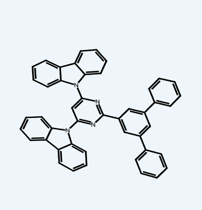 c1ccc(-c2cc(-c3ccccc3)cc(-c3nc(-n4c5ccccc5c5ccccc54)cc(-n4c5ccccc5c5ccccc54)n3)c2)cc1